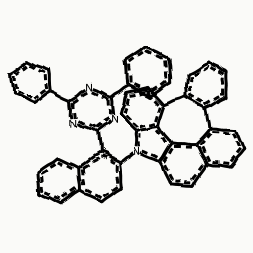 c1ccc(-c2nc(-c3ccccc3)nc(-c3c(-n4c5cccc6c5c5c7c(cccc7ccc54)-c4ccccc4-6)ccc4ccccc34)n2)cc1